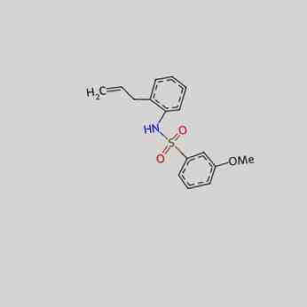 C=CCc1ccccc1NS(=O)(=O)c1cccc(OC)c1